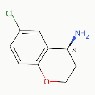 N[C@H]1CCOc2ccc(Cl)cc21